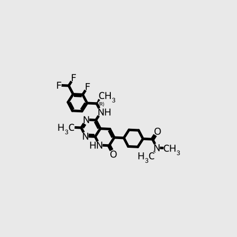 Cc1nc(N[C@H](C)c2cccc(C(F)F)c2F)c2cc(C3CCC(C(=O)N(C)C)CC3)c(=O)[nH]c2n1